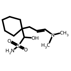 CN(C)C=CCC1(C(O)S(N)(=O)=O)CCCCC1